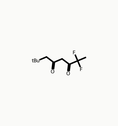 CC(C)(C)CC(=O)CC(=O)C(C)(F)F